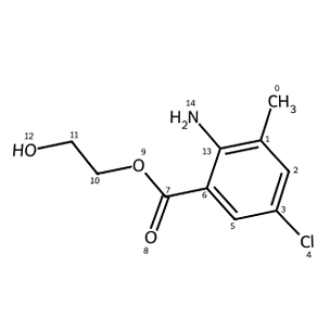 Cc1cc(Cl)cc(C(=O)OCCO)c1N